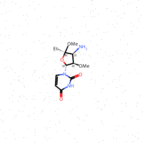 CC[C@@]1(OC)O[C@@H](n2ccc(=O)[nH]c2=O)[C@H](OC)[C@@H]1N